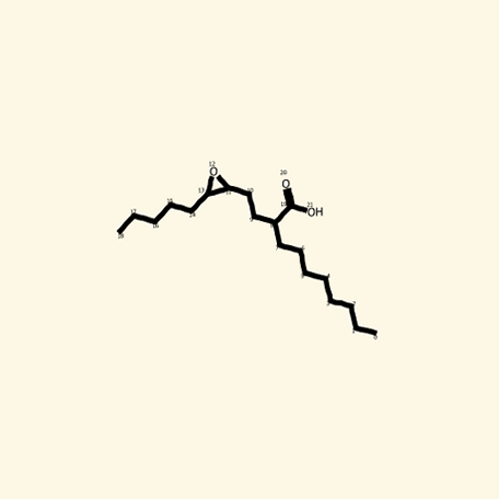 CCCCCCCCC(CCC1OC1CCCCC)C(=O)O